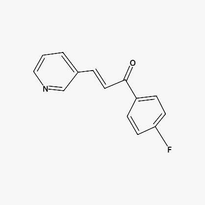 O=C(/C=C/c1cccnc1)c1ccc(F)cc1